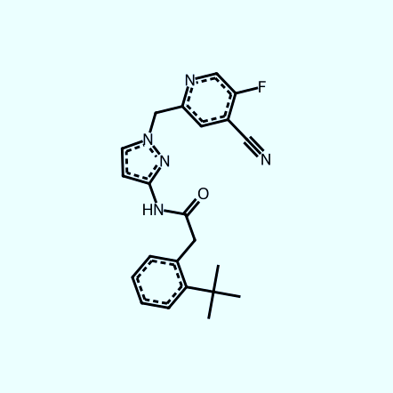 CC(C)(C)c1ccccc1CC(=O)Nc1ccn(Cc2cc(C#N)c(F)cn2)n1